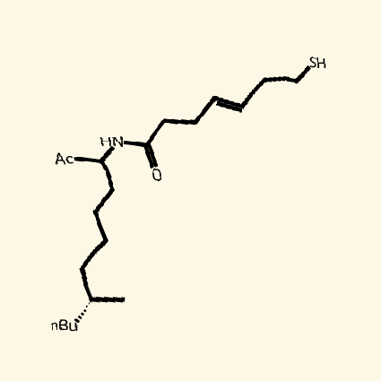 CCCC[C@@H](C)CCCCC(NC(=O)CC/C=C/CCS)C(C)=O